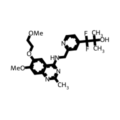 COCCOc1cc2c(NCc3cc(C(F)(F)C(C)(C)O)ccn3)nc(C)nc2cc1OC